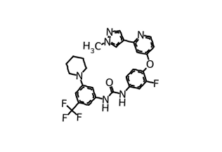 Cn1cc(-c2cc(Oc3ccc(NC(=O)Nc4cc(N5CCCCC5)cc(C(F)(F)F)c4)cc3F)ccn2)cn1